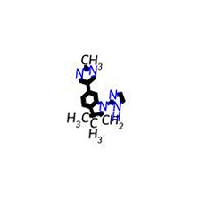 C=C1N(c2ncc[nH]2)c2cc(-c3cnc(C)nc3)ccc2C1(C)C